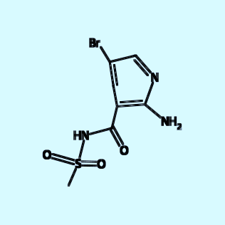 CS(=O)(=O)NC(=O)c1cc(Br)cnc1N